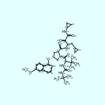 COc1ccc2c(O[C@@H]3C[C@@H](C(=O)NC(CC4CC4)C(=O)C(=O)NC4CC4)N(C(=O)C(NC(=O)NC(C)(C)C)C(C)(C)C)C3)nccc2c1